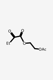 CCC(=O)C(=O)OCCOC(C)=O